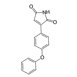 O=C1C=C(c2ccc(Oc3ccccc3)cc2)C(=O)N1